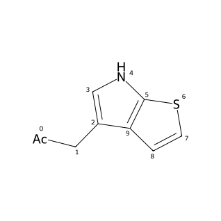 CC(=O)Cc1c[nH]c2sccc12